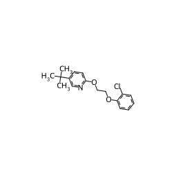 CC(C)(C)c1ccc(OCCOc2ccccc2Cl)nc1